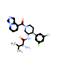 CC(C)[C@@H](N)C(=O)N[C@@H]1CN(C(=O)c2cccn3cncc23)CC[C@H]1c1cc(F)cc(Cl)c1